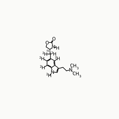 [2H]c1c(C([2H])([2H])[C@H]2COC(=O)N2[2H])c([2H])c2c(CCN(C)C)cn([2H])c2c1[2H]